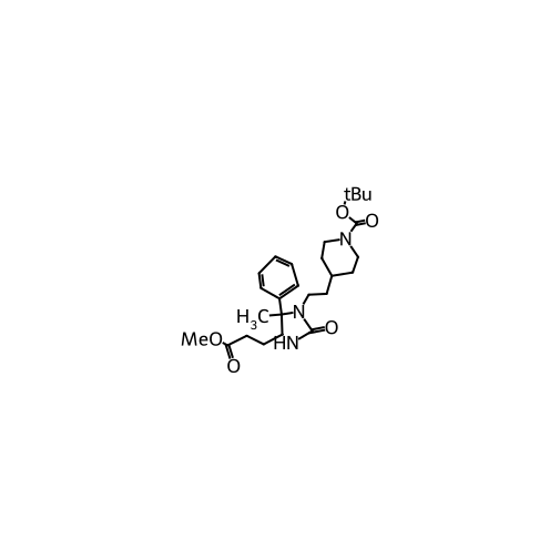 COC(=O)CCC1NC(=O)N(CCC2CCN(C(=O)OC(C)(C)C)CC2)C1(C)c1ccccc1